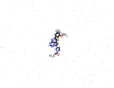 CCC(=O)N1CC[C@@H](c2cc(-c3cc4cc(C)cc(OC)c4s3)c3c(N)ncnn23)C1